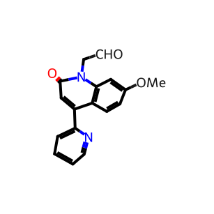 COc1ccc2c(-c3ccccn3)cc(=O)n(CC=O)c2c1